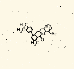 CCCC(CC1CC(=O)c2c(C)ccc(-c3ccc(C)c(C)c3)c2C1)C(CC)C(=O)CC(C)=O